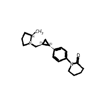 C[C@@H]1CCCN1C[C@H]1C[C@@H]1c1ccc(N2CCCCC2=O)cc1